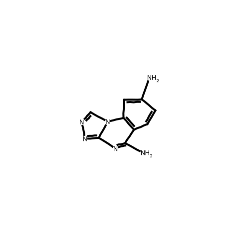 Nc1ccc2c(N)nc3nncn3c2c1